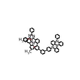 Cc1ccc2c(c1)c1cc(C)ccc1n2-c1c(-c2cccc(-c3cccc(-c4ccc(N5c6ccccc6B6c7ccccc7N(c7ccccc7)c7cccc5c76)cc4)c3)c2)cccc1-c1nc(-c2ccccc2)nc(-c2ccccc2)n1